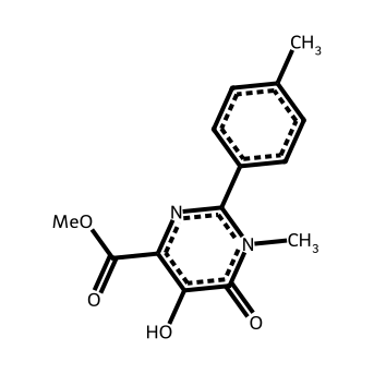 COC(=O)c1nc(-c2ccc(C)cc2)n(C)c(=O)c1O